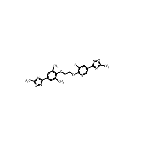 Cc1cc(-c2noc(C(F)(F)F)n2)cc(C)c1OCCOc1ncc(-c2noc(C(F)(F)F)n2)cc1F